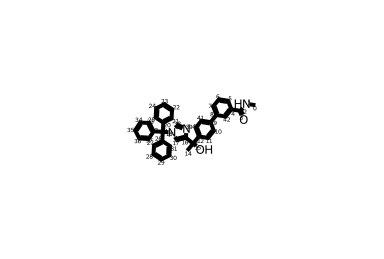 CNC(=O)c1cccc(-c2ccc(C(C)(O)c3cn(C(c4ccccc4)(c4ccccc4)c4ccccc4)cn3)cc2)c1